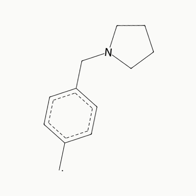 [CH2]c1ccc(CN2CCCC2)cc1